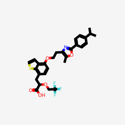 Cc1oc(-c2ccc(C(C)C)cc2)nc1CCOc1ccc(CC(OCC(F)(F)F)C(=O)O)c2sccc12